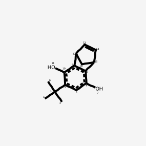 CC(C)(C)c1cc(O)c2c(c1O)C1C=CC2C1